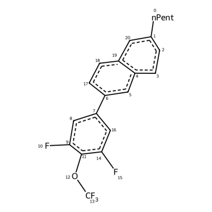 CCCCCc1ccc2cc(-c3cc(F)c(OC(F)(F)F)c(F)c3)ccc2c1